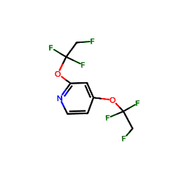 FCC(F)(F)Oc1ccnc(OC(F)(F)CF)c1